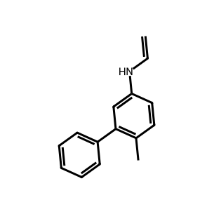 C=CNc1ccc(C)c(-c2ccccc2)c1